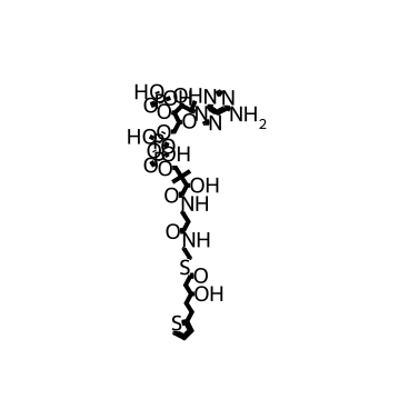 CC(C)(COP(=O)(O)OP(=O)(O)OCC1OC(C)(n2cnc3c(N)ncnc32)C(O)C1OP(=O)(O)O)C(O)C(=O)NCCC(=O)NCCSC(=O)CC(O)CCc1cccs1